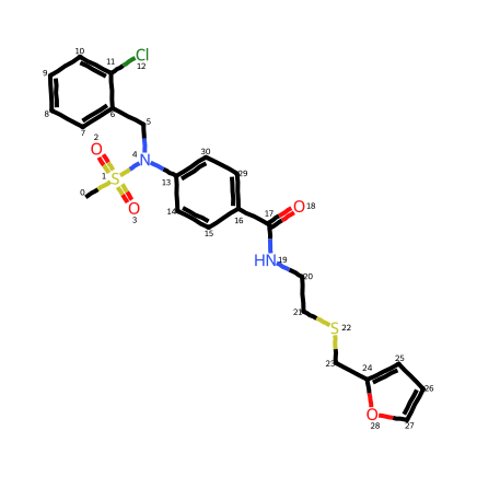 CS(=O)(=O)N(Cc1ccccc1Cl)c1ccc(C(=O)NCCSCc2ccco2)cc1